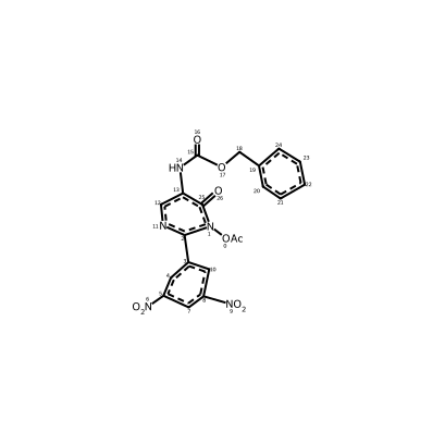 CC(=O)On1c(-c2cc([N+](=O)[O-])cc([N+](=O)[O-])c2)ncc(NC(=O)OCc2ccccc2)c1=O